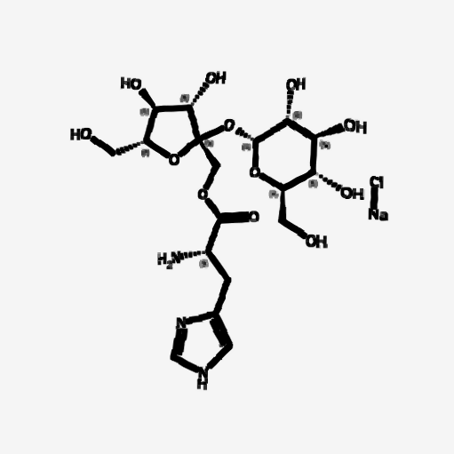 N[C@@H](Cc1c[nH]cn1)C(=O)OC[C@@]1(O[C@H]2O[C@H](CO)[C@@H](O)[C@H](O)[C@H]2O)O[C@H](CO)[C@@H](O)[C@@H]1O.[Na][Cl]